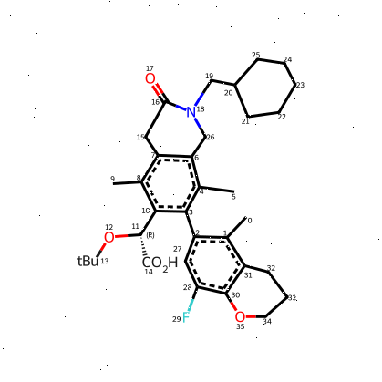 Cc1c(-c2c(C)c3c(c(C)c2[C@@H](OC(C)(C)C)C(=O)O)CC(=O)N(CC2CCCCC2)C3)cc(F)c2c1CCCO2